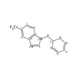 FC(F)(F)c1ccc2c(c1)ncn2CC1C=CC=CC1